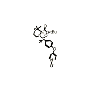 CC(C)(C)OC(=O)[C@@H]1N(S(=O)(=O)c2ccc(Oc3cc[n+]([O-])cc3)cc2)CCSC1(C)C